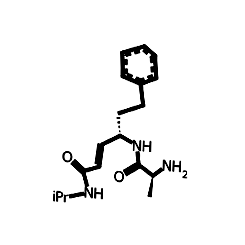 CC(C)NC(=O)C=C[C@H](CCc1ccccc1)NC(=O)[C@H](C)N